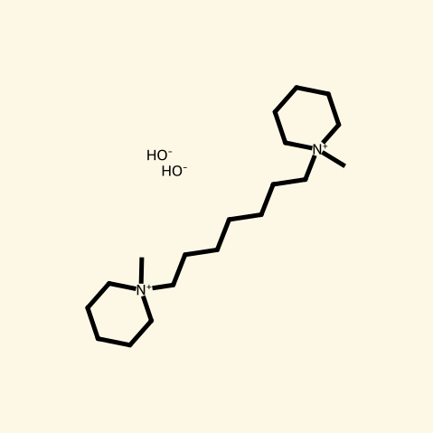 C[N+]1(CCCCCCC[N+]2(C)CCCCC2)CCCCC1.[OH-].[OH-]